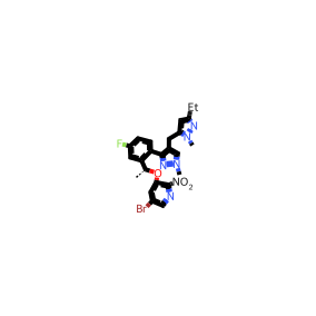 CCc1cc(Cc2cn(C)nc2-c2ccc(F)cc2[C@@H](C)Oc2cc(Br)cnc2[N+](=O)[O-])n(C)n1